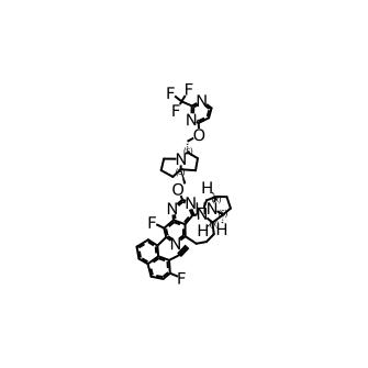 C#Cc1c(F)ccc2cccc(-c3nc4c5c(nc(OC[C@@]67CCCN6[C@H](COc6ccnc(C(F)(F)F)n6)CC7)nc5c3F)N3C[C@H]5CC[C@H](N5)[C@H]3CCC4)c12